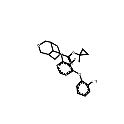 CC1(OC(=O)N2CC3COCC(C2)C3Oc2ncnc(Oc3ccccc3C#N)c2F)CC1